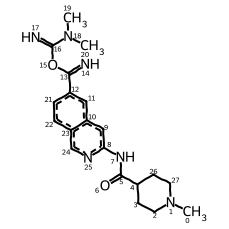 CN1CCC(C(=O)Nc2cc3cc(C(=N)OC(=N)N(C)C)ccc3cn2)CC1